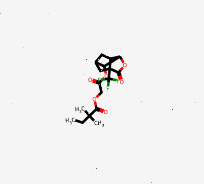 CCC(C)(C)C(=O)OCC(=O)OC1C2CC3C1OC(=O)C3(C(F)(F)F)C2